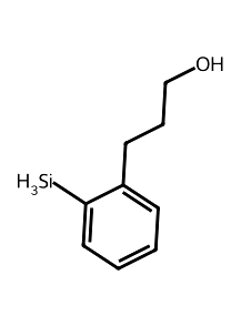 OCCCc1ccccc1[SiH3]